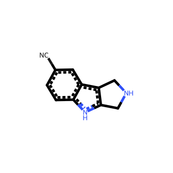 N#Cc1ccc2[nH]c3c(c2c1)CNC3